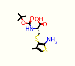 Cc1csc(N)c1SC[C@H](NC(=O)OC(C)(C)C)C(=O)O